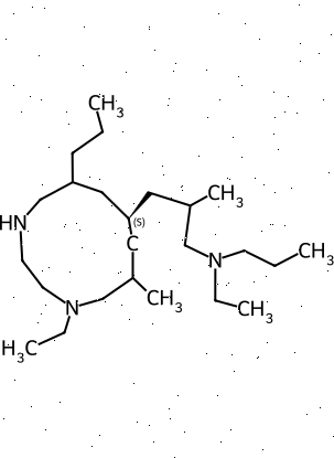 CCCC1CNCCN(CC)CC(C)C[C@H](CC(C)CN(CC)CCC)C1